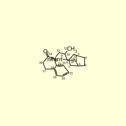 CCCCCC1CC2CCC(C1)N2CC(C)CN1C(=O)CCc2ccccc21